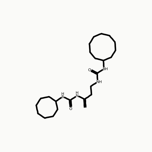 C=C(CCNC(=O)BC1CCCCCCCCC1)NC(=O)BC1CCCCCCC1